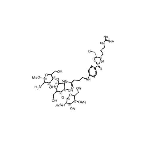 CO[C@@H]1OC(CO)[C@@H](O[C@@H]2OC(CO)[C@@H](O[C@@H]3OC(CO)[C@@H](OC)[C@H](O)C3NC(C)=O)[C@H](O)C2NC(=O)CCCNc2ccc(S(=O)(=O)N[C@H](CCCNC(=N)N)C(=O)CCl)cc2)[C@H](O)C1N